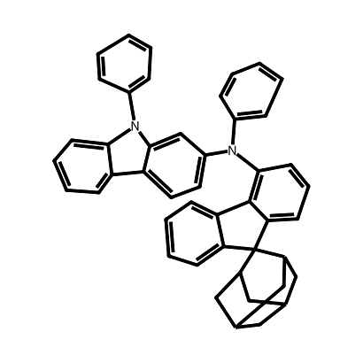 c1ccc(N(c2ccc3c4ccccc4n(-c4ccccc4)c3c2)c2cccc3c2-c2ccccc2C32C3CC4CC(C3)CC2C4)cc1